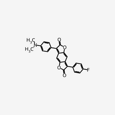 CN(C)c1ccc(C2=c3cc4c(cc3OC2=O)=C(c2ccc(F)cc2)C(=O)O4)cc1